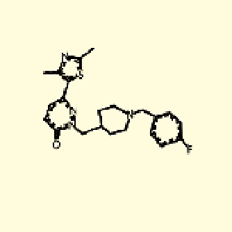 Cc1nc(C)c(-c2ccc(=O)n(CC3CCN(Cc4ccc(F)cc4)CC3)n2)s1